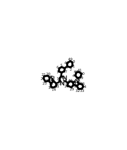 c1ccc(-c2cccc(-c3cc(-c4cccc5c4sc4ccccc45)nc(-c4ccc5c6ccccc6n(-c6ccccc6)c5c4)n3)c2)cc1